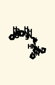 CN(CCNC(=S)Nc1ccc(S(=O)(=O)Nc2ccccc2)cc1)CCNc1cc(N2CCCC2)nc(N2CCCC2)n1